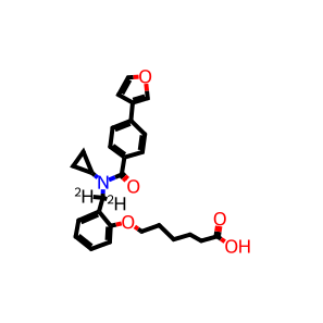 [2H]C([2H])(c1ccccc1OCCCCCC(=O)O)N(C(=O)c1ccc(-c2ccoc2)cc1)C1CC1